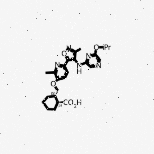 Cc1nc(-c2onc(C)c2Nc2cncc(OC(C)C)n2)ccc1OC[C@H]1CCCC[C@@H]1C(=O)O